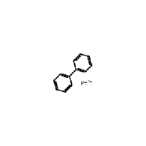 [Pd+2].c1ccc(-c2ccccc2)cc1